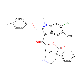 COc1cc2c(C(=O)C(C)OC(=O)C3(c4ccccc4)CCNCC3)c(COc3ccc(C)cc3)n(C)c2cc1Br